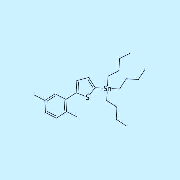 CCC[CH2][Sn]([CH2]CCC)([CH2]CCC)[c]1ccc(-c2cc(C)ccc2C)s1